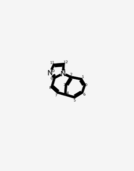 C1=CC2=CC(C=C1)C=Cc1nccn12